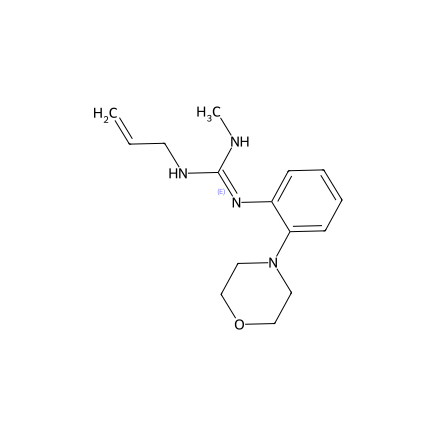 C=CCN/C(=N/c1ccccc1N1CCOCC1)NC